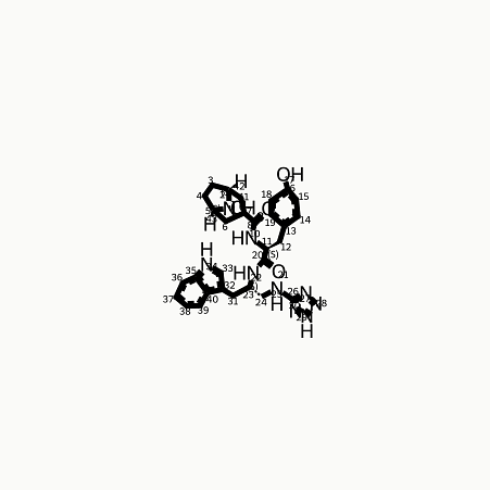 CN1[C@H]2CC[C@H]1CC(C(=O)N[C@@H](Cc1ccc(O)cc1)C(=O)N[C@H](CNc1nn[nH]n1)Cc1c[nH]c3ccccc13)C2